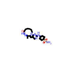 C/C1=N/NC(=O)CCCCCn2c1cc1cnc(Nc3ccc(S(N)(=O)=O)cc3)nc12